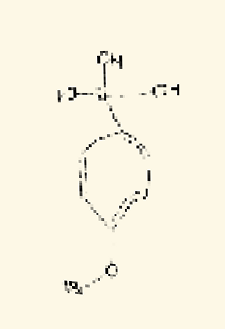 CC(C)(C)Oc1ccc([Si](O)(O)O)cc1